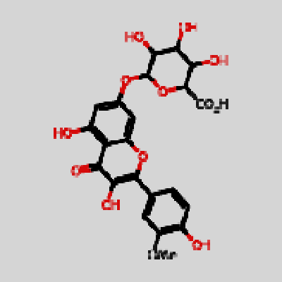 COc1cc(-c2oc3cc(OC4OC(C(=O)O)C(O)C(O)C4O)cc(O)c3c(=O)c2O)ccc1O